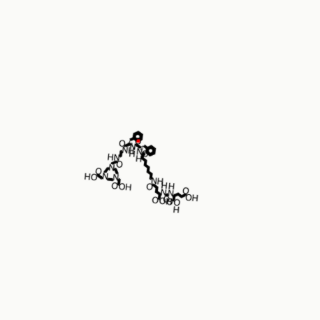 O=C(O)CCC(NC(=O)NC(CCC(=O)NCCCCCCCC(=O)N[C@@H](Cc1ccccc1)C(=O)N[C@@H](Cc1ccccc1)C(=O)NCCNC(=O)CN1CCN(CC(=O)O)CCN(CC(=O)O)CC1)C(=O)O)C(=O)O